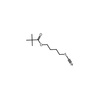 CC(C)(C)C(=O)OCCCCSC#N